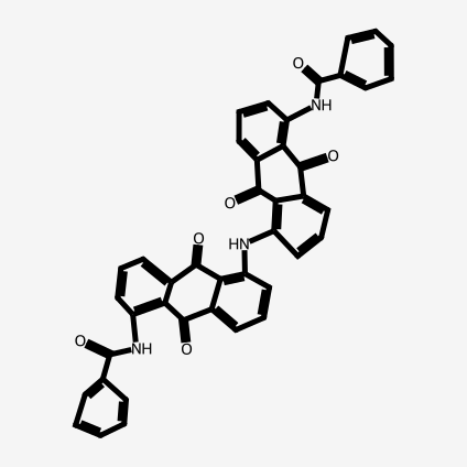 O=C(Nc1cccc2c1C(=O)c1cccc(Nc3cccc4c3C(=O)c3cccc(NC(=O)c5ccccc5)c3C4=O)c1C2=O)c1ccccc1